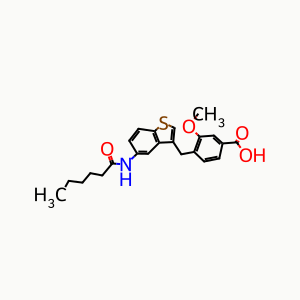 CCCCCC(=O)Nc1ccc2scc(Cc3ccc(C(=O)O)cc3OC)c2c1